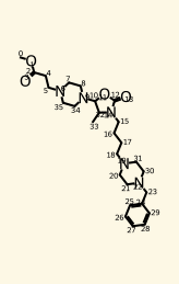 COC(=O)CCN1CCN(C2OC(=O)N(CCCCN3CCN(Cc4ccccc4)CC3)C2C)CC1